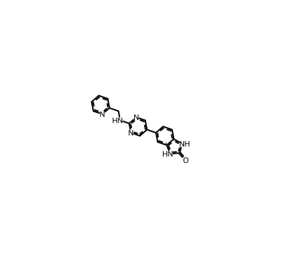 O=c1[nH]c2ccc(-c3cnc(NCc4ccccn4)nc3)cc2[nH]1